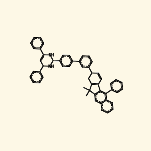 CC1(C)C2=C(C=CC(c3cccc(-c4ccc(C5NC(c6ccccc6)=CC(c6ccccc6)N5)cc4)c3)C2)c2c1cc1ccccc1c2-c1ccccc1